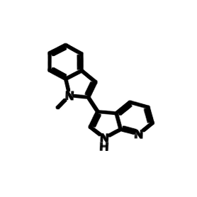 Cn1c(-c2c[nH]c3ncccc23)cc2ccccc21